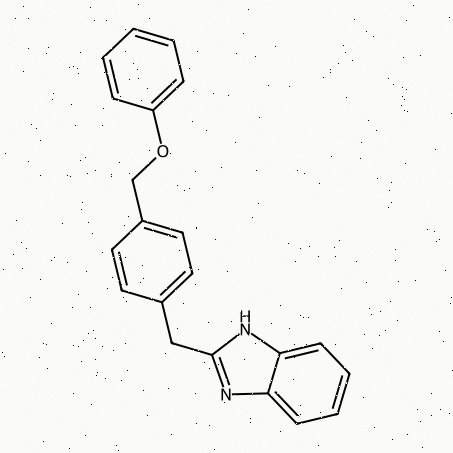 c1ccc(OCc2ccc(Cc3nc4ccccc4[nH]3)cc2)cc1